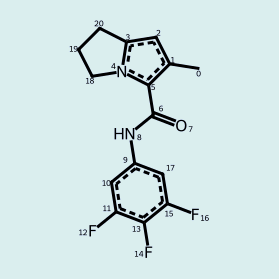 Cc1cc2n(c1C(=O)Nc1cc(F)c(F)c(F)c1)CCC2